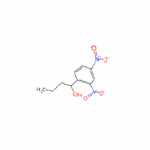 CCCC(O)c1ccc([N+](=O)[O-])cc1[N+](=O)[O-]